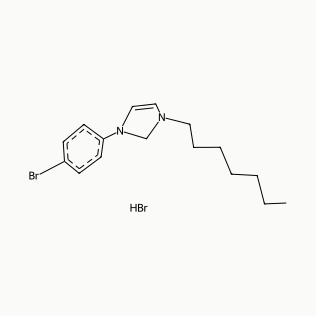 Br.CCCCCCCN1C=CN(c2ccc(Br)cc2)C1